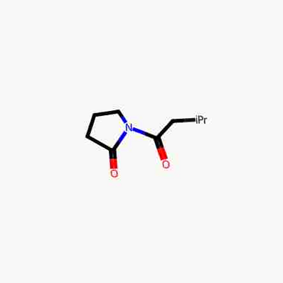 CC(C)CC(=O)N1CCCC1=O